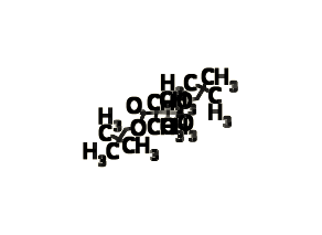 CC(C)(C)COC(=O)C(C)(C)C(C)(C)C(=O)OCC(C)(C)C